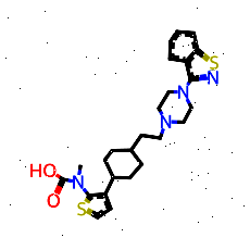 CN(C(=O)O)c1sccc1C1CCC(CCN2CCN(c3nsc4ccccc34)CC2)CC1